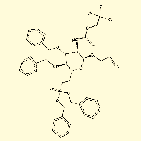 C=CCO[C@H]1O[C@H](COP(=O)(OCc2ccccc2)OCc2ccccc2)[C@@H](OCc2ccccc2)[C@H](OCc2ccccc2)[C@H]1NC(=O)OCC(Cl)(Cl)Cl